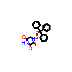 O=C1CN(SSC(c2ccccc2)(c2ccccc2)c2ccccc2)C(=O)C(=O)N1